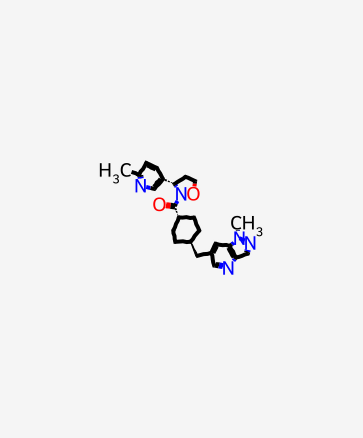 Cc1ccc([C@@H]2CCON2C(=O)[C@H]2CC[C@H](Cc3cnc4cnn(C)c4c3)CC2)cn1